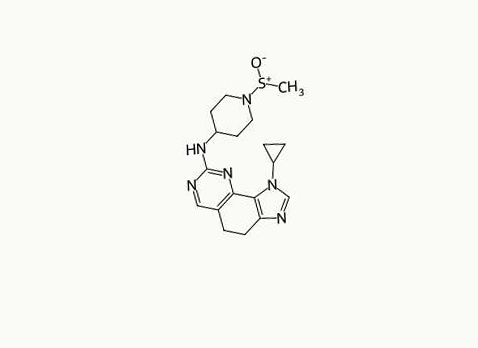 C[S+]([O-])N1CCC(Nc2ncc3c(n2)-c2c(ncn2C2CC2)CC3)CC1